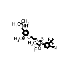 COc1cc(CNC(C)C)ccc1OCCCN1C(=S)N(c2ccc(C#N)c(C(F)(F)F)c2)C(=O)C1(C)C